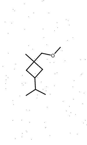 COCC1(C)CC(C(C)C)C1